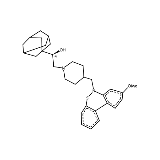 COc1ccc2c(c1)N(CC1CCN(C[C@H](O)C34CC5CC(CC(C5)C3)C4)CC1)Sc1ccccc1-2